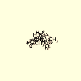 CC1CC2CC(CC(C)(C(=O)Nc3ccncc3)C2)C1C(N)C(=O)NCC(C)(C)c1ccc(F)c(Cl)c1